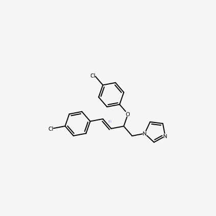 Clc1ccc(/C=C/C(Cn2ccnc2)Oc2ccc(Cl)cc2)cc1